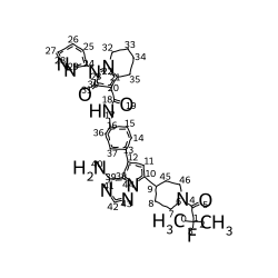 CC(C)(F)C(=O)N1CCC(c2cc(-c3ccc(NC(=O)c4c5n(n(-c6cccnn6)c4=O)CCCC5)cc3)c3c(N)ncnn23)CC1